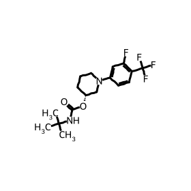 CC(C)(C)NC(=O)O[C@@H]1CCCN(c2ccc(C(F)(F)F)c(F)c2)C1